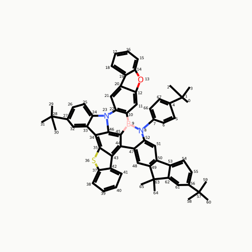 CC(C)(C)c1ccc(N2B3c4cc5oc6ccccc6c5cc4-n4c5ccc(C(C)(C)C)cc5c5c6sc7ccccc7c6c(c3c54)-c3cc4c(cc32)-c2ccc(C(C)(C)C)cc2C4(C)C)cc1